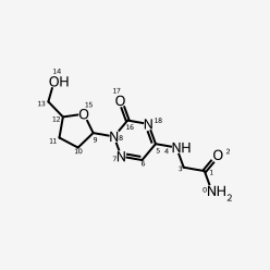 NC(=O)CNc1cnn(C2CCC(CO)O2)c(=O)n1